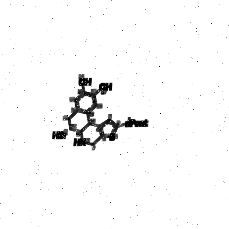 Br.CCCCCc1cc2c(s1)CNC1CCc3cc(O)c(O)cc3C21